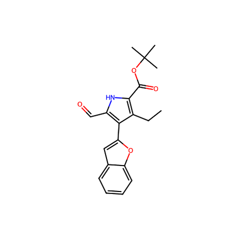 CCc1c(C(=O)OC(C)(C)C)[nH]c(C=O)c1-c1cc2ccccc2o1